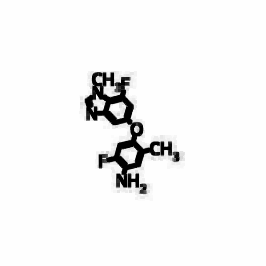 Cc1cc(N)c(F)cc1Oc1cc(F)c2c(c1)ncn2C